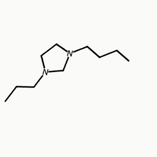 CCCCN1CCN(CCC)C1